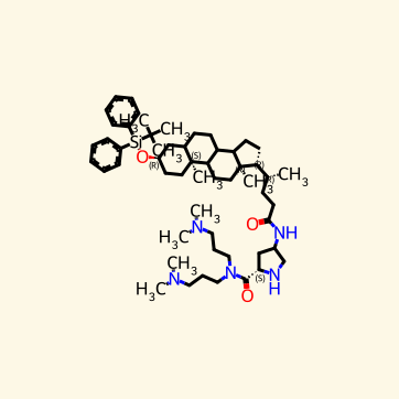 C[C@H](CCC(=O)NC1CN[C@H](C(=O)N(CCCN(C)C)CCCN(C)C)C1)[C@H]1CCC2C3CCC4C[C@H](O[Si](c5ccccc5)(c5ccccc5)C(C)(C)C)CC[C@]4(C)C3CC[C@@]21C